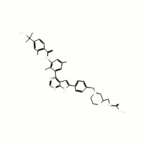 Cc1c(NC(=O)c2ccc(C(C)(C)O)cc2F)cc(F)cc1-c1ncnc2[nH]c(-c3ccc(CN4CCOC(CNC(=O)O)C4)cc3)cc12